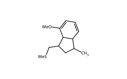 COC1=CC=CC2C(C)CC(CSC)C12